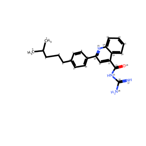 CC(C)CCCc1ccc(-c2cc(C(=O)NC(=N)N)c3ccccc3n2)cc1